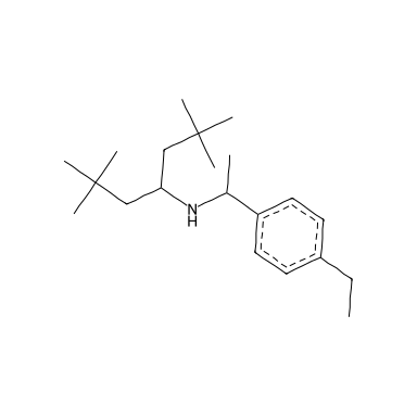 CCc1ccc(C(C)NC(CC(C)(C)C)CC(C)(C)C)cc1